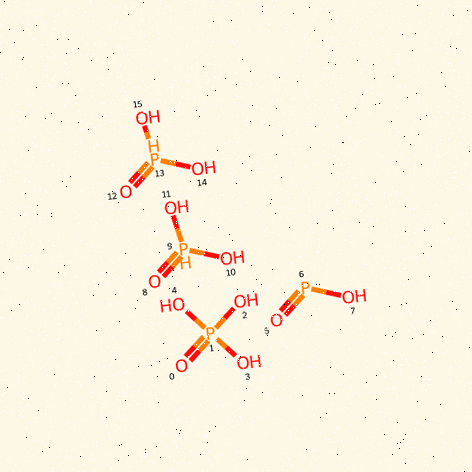 O=P(O)(O)O.O=PO.O=[PH](O)O.O=[PH](O)O